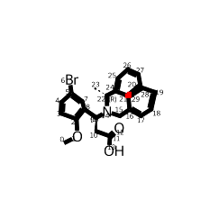 COc1ccc(Br)cc1[C@H](CC(=O)O)N(Cc1ccccc1)[C@H](C)c1ccccc1